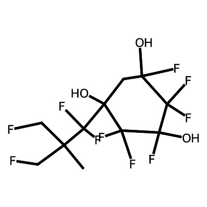 CC(CF)(CF)C(F)(F)C1(O)CC(O)(F)C(F)(F)C(O)(F)C1(F)F